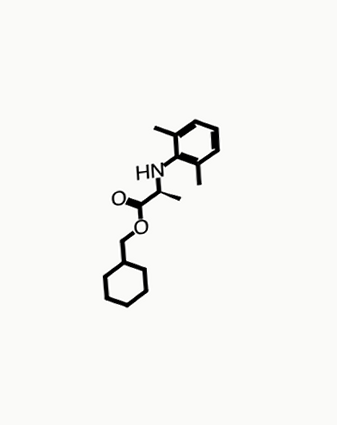 Cc1cccc(C)c1N[C@@H](C)C(=O)OCC1CCCCC1